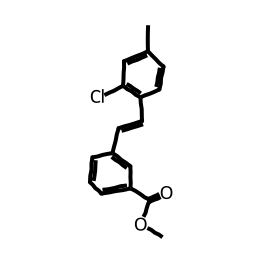 COC(=O)c1cccc(/C=C/c2ccc(C)cc2Cl)c1